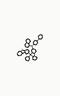 c1ccc(-c2ccc(N(c3ccc4c(c3)C(c3ccccc3)(c3ccc5sc6ccccc6c5c3)c3ccccc3-4)c3cccc4ccccc34)cc2)cc1